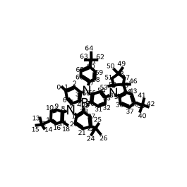 Cc1cc2c3c(c1)N(c1ccc(C(C)(C)C)cc1C)c1ccc(C(C)(C)C)cc1B3c1ccc(N3c4ccc(C(C)(C)C)cc4C4(C)CC(C)(C)CC34C)cc1N2c1ccc(C(C)(C)C)cc1